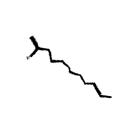 CC=CCCCCCCC(C)F